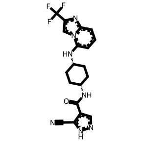 N#Cc1[nH]ncc1C(=O)N[C@H]1CC[C@@H](Nc2cccc3nc(C(F)(F)F)cn23)CC1